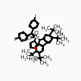 CC(C)(C)c1cc2c(cc1C(C)(C)C)[CH]([Zr]([Cl])([Cl])(=[C](c1ccc(I)cc1)c1ccc(I)cc1)[CH]1C=CC=C1)c1cc(C(C)(C)C)c(C(C)(C)C)cc1-2